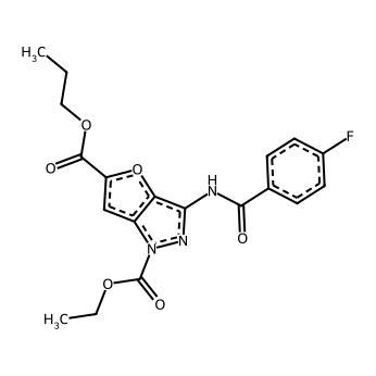 CCCOC(=O)c1cc2c(o1)c(NC(=O)c1ccc(F)cc1)nn2C(=O)OCC